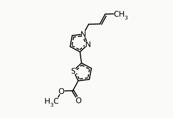 C/C=C/Cn1ccc(-c2ccc(C(=O)OC)s2)n1